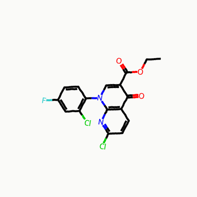 CCOC(=O)c1cn(-c2ccc(F)cc2Cl)c2nc(Cl)ccc2c1=O